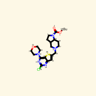 CC(C)(C)OC(=O)N1CCC2CN(Cc3cc4nc(Cl)nc(N5CCOCC5)c4s3)CCC21